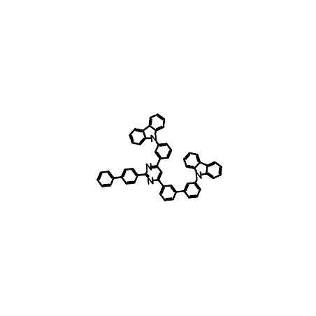 c1ccc(-c2ccc(-c3nc(-c4cccc(-c5cccc(-n6c7ccccc7c7ccccc76)c5)c4)cc(-c4cccc(-n5c6ccccc6c6ccccc65)c4)n3)cc2)cc1